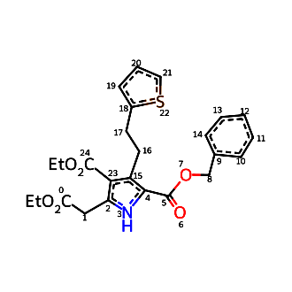 CCOC(=O)Cc1[nH]c(C(=O)OCc2ccccc2)c(CCc2cccs2)c1C(=O)OCC